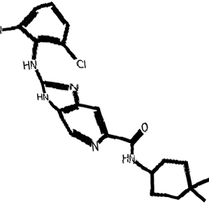 CC1(C)CCC(NC(=O)c2cc3nc(Nc4c(Cl)cccc4Cl)[nH]c3cn2)CC1